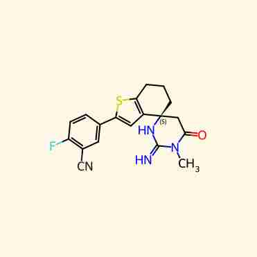 CN1C(=N)N[C@@]2(CCCc3sc(-c4ccc(F)c(C#N)c4)cc32)CC1=O